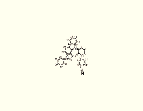 N#Cc1ccc(-c2cccc(-n3c4ccccc4c4ccc5c(ccn5-c5ccccc5)c43)c2)cc1